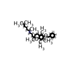 CC(C)=CCC/C(C)=C/CC[C@@]1(C)CCc2c(C)c(OCc3ccccc3)c(C)c(C)c2O1